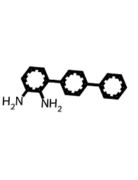 Nc1cccc(-c2ccc(-c3ccccc3)cc2)c1N